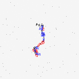 Cc1cccc(C(=O)NC2CC(n3cnc4c(NCC5CCN(C(=O)COCCOCCNc6cccc7c6C(=O)N([C@H]6CCC(=O)NC6=O)C7=O)CC5)ncnc43)C2)n1